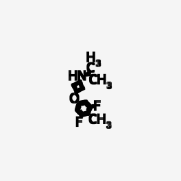 Cc1c(F)cc(OC2CC(NC(C)C)C2)cc1F